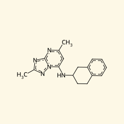 Cc1cc(NC2CCc3ccccc3C2)n2nc(C)nc2n1